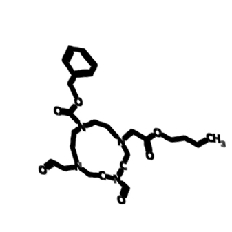 CCCCOC(=O)CN1CCN(C=O)CCN(CC=O)CCN(C(=O)OCc2ccccc2)CC1